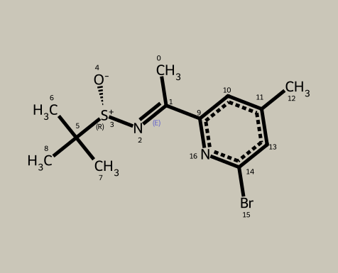 C/C(=N\[S@@+]([O-])C(C)(C)C)c1cc(C)cc(Br)n1